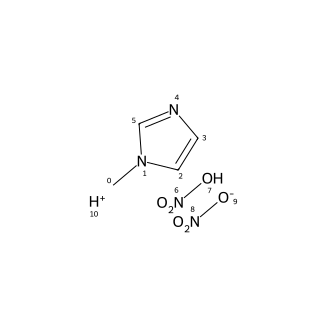 Cn1ccnc1.O=[N+]([O-])O.O=[N+]([O-])[O-].[H+]